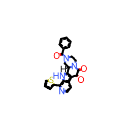 O=C1C(=O)N2CCN(C(=O)c3ccccc3)C[C@H]2c2[nH]c3c(-c4cccs4)nccc3c21